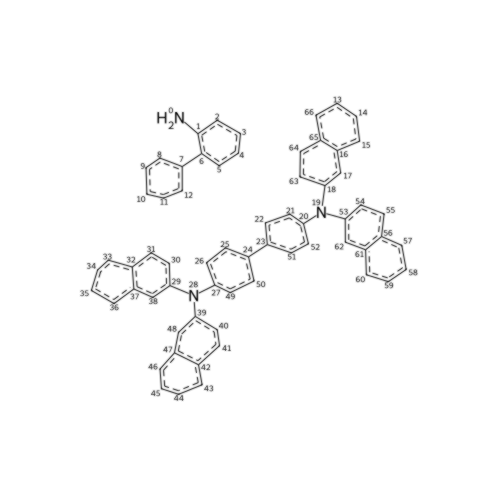 Nc1ccccc1-c1ccccc1.c1ccc2cc(N(c3ccc(-c4ccc(N(c5ccc6ccccc6c5)c5ccc6ccccc6c5)cc4)cc3)c3ccc4ccccc4c3)ccc2c1